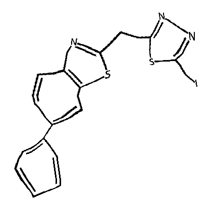 Ic1nnc(Cc2nc3ccc(-c4ccccc4)cc3s2)s1